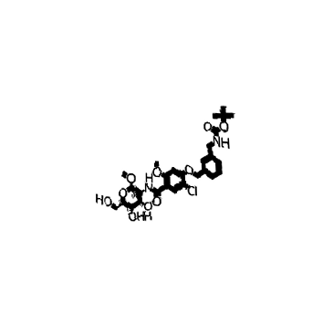 COc1cc(OCc2cccc(CNC(=O)OC(C)(C)C)c2)c(Cl)cc1C(=O)N[C@H]1[C@@H](OC)O[C@H](CO)[C@@H](O)[C@@H]1O